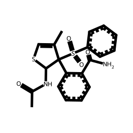 CC(=O)NC1SC=C(C)C1(c1ccccc1C(N)=O)S(=O)(=O)c1ccccc1